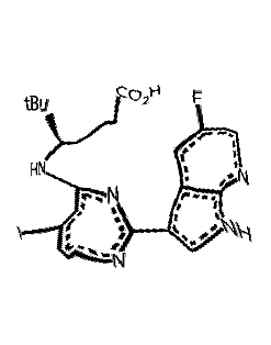 CC(C)(C)[C@@H](CC(=O)O)Nc1nc(-c2c[nH]c3ncc(F)cc23)ncc1I